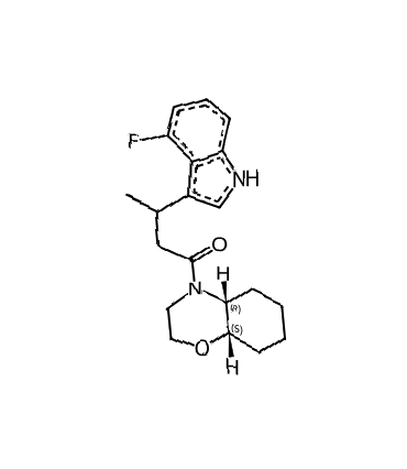 CC(CC(=O)N1CCO[C@H]2CCCC[C@H]21)c1c[nH]c2cccc(F)c12